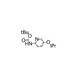 CC(C)Oc1ccc(NC(=O)OC(C)(C)C)nc1